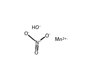 O=[N+]([O-])[O-].[Mn+2].[OH-]